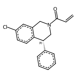 C=CC(=O)N1Cc2cc(Cl)ccc2[C@@H](c2ccccc2)C1